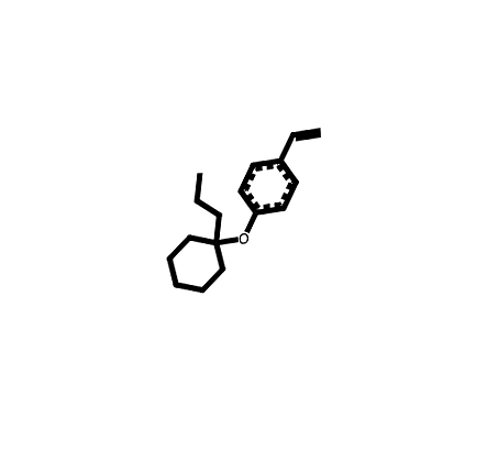 C=Cc1ccc(OC2(CCC)CCCCC2)cc1